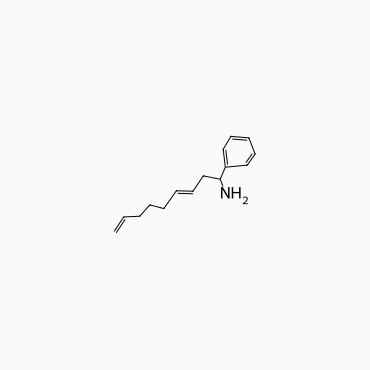 C=CCCCC=CCC(N)c1ccccc1